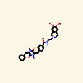 COc1cc2c(cc1OC)CN(CCNC(=O)c1ccc(C=c3c(=O)n(C)c(=Cc4ccccc4)c(=O)n3C)cc1)CC2